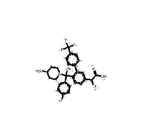 CC1CCN(C(C)(c2ccc(F)cc2)c2ccc(C(C)C(=O)O)cc2-c2ccc(C(F)(F)F)cc2)CC1